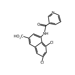 O=C(O)c1cc(NC(=O)c2cccnc2)c2c(Cl)cc(Cl)cc2c1